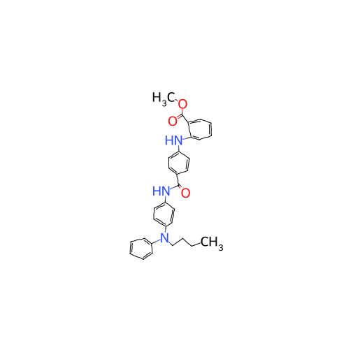 CCCCN(c1ccccc1)c1ccc(NC(=O)c2ccc(Nc3ccccc3C(=O)OC)cc2)cc1